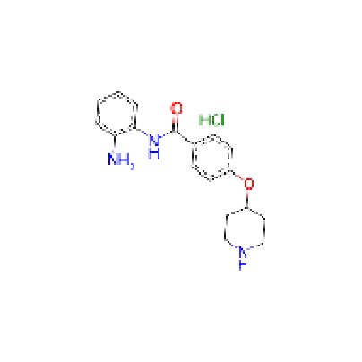 Cl.Nc1ccccc1NC(=O)c1ccc(OC2CCNCC2)cc1